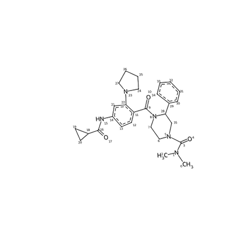 CN(C)C(=O)N1CCN(C(=O)c2ccc(NC(=O)C3CC3)cc2N2CCCC2)C(c2ccccc2)C1